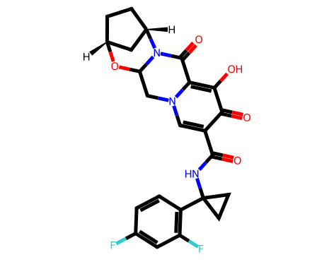 O=C(NC1(c2ccc(F)cc2F)CC1)c1cn2c(c(O)c1=O)C(=O)N1C(C2)O[C@@H]2CC[C@H]1C2